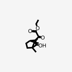 CCOC(=O)C(=O)C1=C(O)C2(C)CCC1C2(C)C